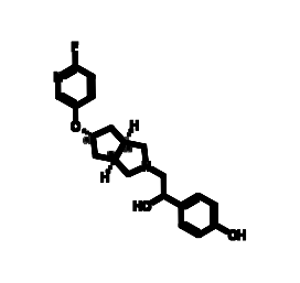 Oc1ccc(C(O)CN2C[C@H]3C[C@H](Oc4ccc(F)nc4)C[C@H]3C2)cc1